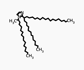 CCCCCCCCCCCCCCCCCC(CCCCCCCCCCCCC)c1nccn1C(C)CCCCCCCCCCCCCC